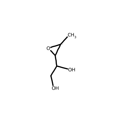 C[C]1OC1C(O)CO